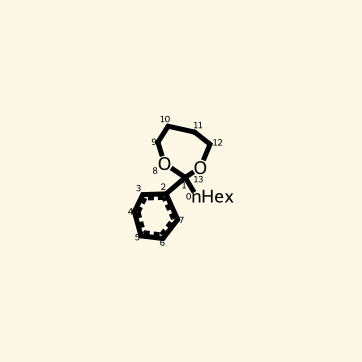 CCCCCCC1(c2ccccc2)OCCCCO1